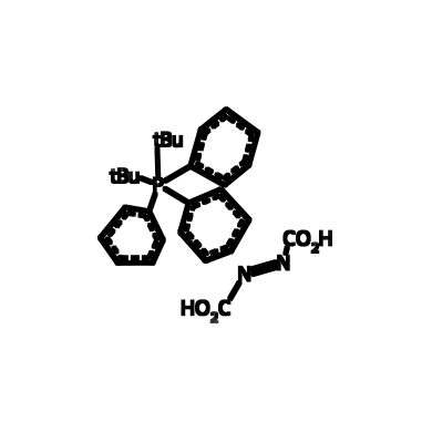 CC(C)(C)P(c1ccccc1)(c1ccccc1)(c1ccccc1)C(C)(C)C.O=C(O)N=NC(=O)O